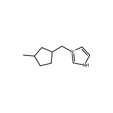 CC1CCC(C[n+]2cc[nH]c2)C1